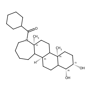 C[C@]12CC[C@H](O)[C@H](O)C1CC[C@@H]1C2CC[C@@]2(C)C1CCCCN2C(=O)C1CCCCC1